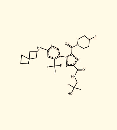 CC(C)(O)CNC(=O)c1nc(C(=O)N2CCC(F)CC2)c(-c2cnc(NC3CC4(CCC4)C3)cc2C(F)(F)F)s1